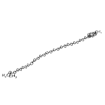 CC(=O)N[C@@H](CCC(=O)NCCOCCOCCOCCOCCOCCOCCOCCOCCOCCOCCOCCOCCOCCOCCOCCOCCOCCOCCOCCOCCOCCOCCOCCOCCC(=O)C(C)C)C(=O)O